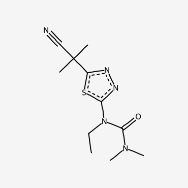 CCN(C(=O)N(C)C)c1nnc(C(C)(C)C#N)s1